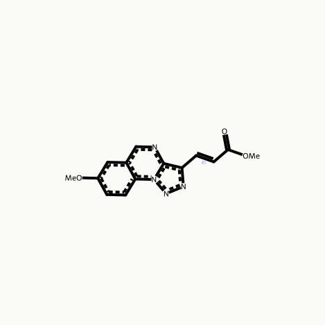 COC(=O)/C=C/c1nnn2c1ncc1cc(OC)ccc12